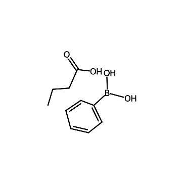 CCCC(=O)O.OB(O)c1ccccc1